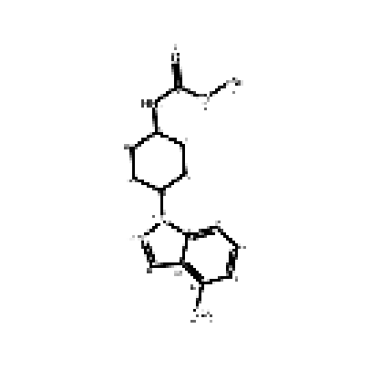 CC(C)(C)OC(=O)NC1CCC(n2ncc3c([N+](=O)[O-])cccc32)CC1